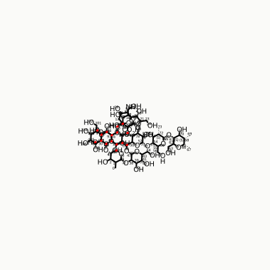 CC1C(O)[C@H](O[C@@H]2OC(CO[C@]3(C(=O)O)C[C@@H](O)[C@@H](N)C([C@H](O)[C@H](O)CO)O3)[C@H](O)C(O)[C@@H]2O)[C@H](CO)O[C@H]1OC1C(O)[C@H](O)C(CO)O[C@@H]1OCC1O[C@@H](O[C@@H]2C(CO)O[C@@H](O[C@@H]3C(CO)O[C@@H](C)[C@@H](C)C3O)[C@@H](C)C2O)[C@H](O)C(O[C@H]2O[C@H](CO)[C@@H](O)C(O)C2O[C@@H]2OC(CO)[C@@H](O[C@@H]3OC(CO)[C@H](O)C(O)[C@@H]3O)C(O)[C@@H]2C)[C@@H]1O